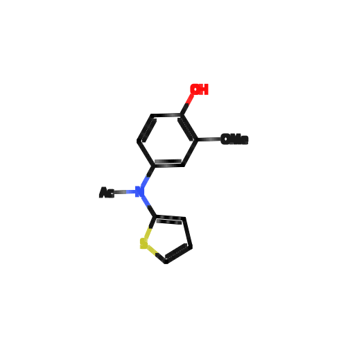 COc1cc(N(C(C)=O)c2cccs2)ccc1O